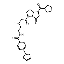 CC(CCNC(=O)c1ccc(-c2cccs2)cc1)CC(=O)N1CCC2C1C(=O)CN2C(=O)C1CCCC1